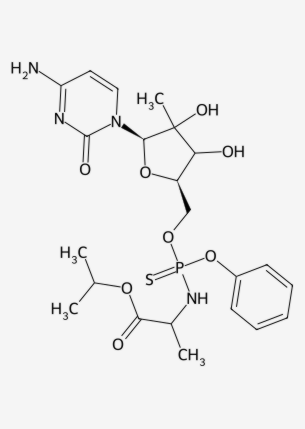 CC(C)OC(=O)C(C)NP(=S)(OC[C@H]1O[C@@H](n2ccc(N)nc2=O)C(C)(O)C1O)Oc1ccccc1